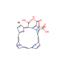 O=C(O)c1c(C(=O)O)c2c(C(=O)O)c3nc(cc4ccc(cc5nc(cc1n2C(=O)O)C=C5)[nH]4)C=C3.[Ni]